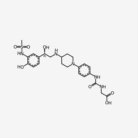 CS(=O)(=O)Nc1cc([C@@H](O)CNC2CCN(c3ccc(NC(=O)NCC(=O)O)cc3)CC2)ccc1O